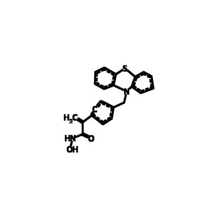 C=C(C(=O)NO)c1ccc(CN2c3ccccc3Sc3ccccc32)cc1